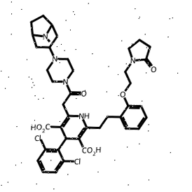 CN1C2CCC1CC(N1CCN(C(=O)CC3=C(C(=O)O)C(c4c(Cl)cccc4Cl)C(C(=O)O)=C(CCc4ccccc4OCCN4CCCC4=O)N3)CC1)C2